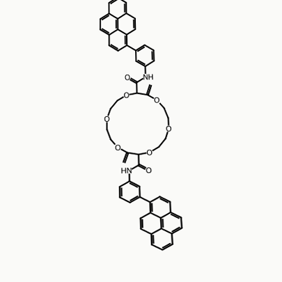 C=C1OCCOCCOC(C(=O)Nc2cccc(-c3ccc4ccc5cccc6ccc3c4c56)c2)C(=C)OCCOCCOC1C(=O)Nc1cccc(-c2ccc3ccc4cccc5ccc2c3c45)c1